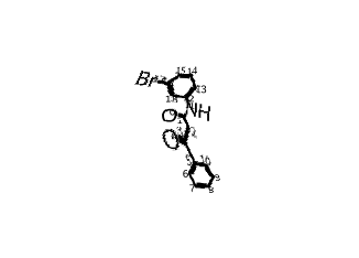 O=C(CC(=O)c1ccccc1)Nc1cccc(Br)c1